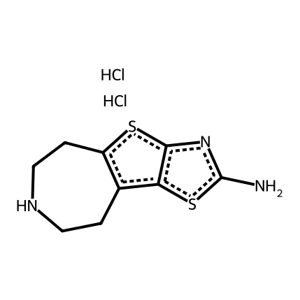 Cl.Cl.Nc1nc2sc3c(c2s1)CCNCC3